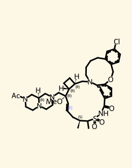 CO[C@@]1(CN2CCN3CCN(C(C)=O)C[C@H]3C2)/C=C/C[C@H](C)C(C)S(=O)(=O)NC(=O)c2ccc3c(c2)N(CCCCc2cc(Cl)ccc2CO3)C[C@@H]2CC[C@H]21